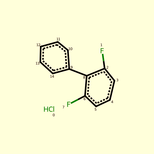 Cl.Fc1cccc(F)c1-c1ccccc1